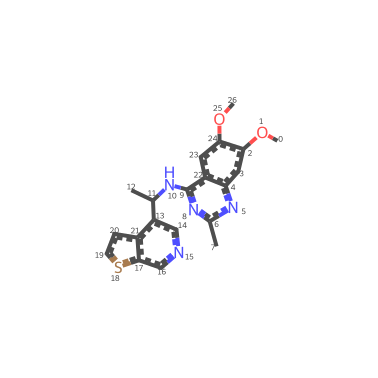 COc1cc2nc(C)nc(NC(C)c3cncc4sccc34)c2cc1OC